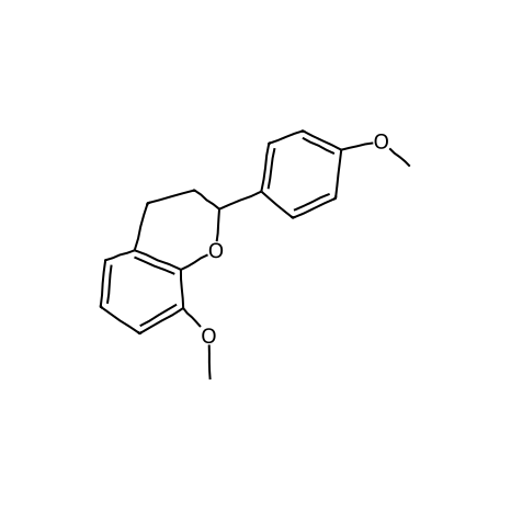 COc1ccc(C2CCc3cccc(OC)c3O2)cc1